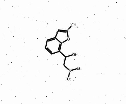 CCN(CC)CC(O)c1cccc2cc(C)oc12